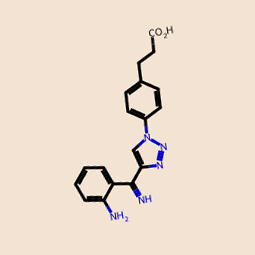 N=C(c1cn(-c2ccc(CCC(=O)O)cc2)nn1)c1ccccc1N